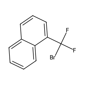 FC(F)(Br)c1cccc2ccccc12